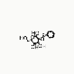 OC[C@H]1O[C@H](O)[C@H](OSc2ccccc2)[C@@H](O)[C@@H]1O